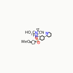 CO[C@@H]1CC[C@@H](S(=O)(=O)c2ccc(-c3ccccn3)cc2C(F)(F)F)C1.N#CC1(NC(=O)O)CC1